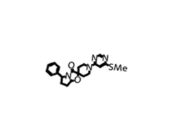 CSc1cc(N2CCC3(CC2)OC2CCC(c4ccccc4)N2C3=O)ncn1